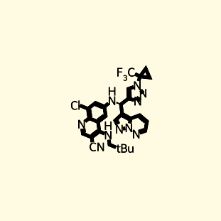 CC(C)(C)CNc1c(C#N)cnc2c(Cl)cc(N[C@H](c3cn(C4(C(F)(F)F)CC4)nn3)c3cnn4ncccc34)cc12